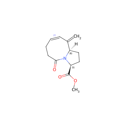 C=C1/C=C\CCC(=O)N2[C@@H]1CC[C@H]2C(=O)OC